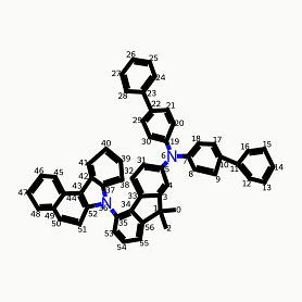 CC1(C)c2cc(N(c3ccc(-c4ccccc4)cc3)c3ccc(-c4ccccc4)cc3)ccc2-c2c(-n3c4ccccc4c4c5ccccc5ccc43)cccc21